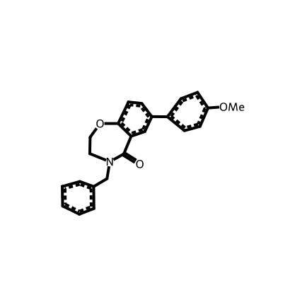 COc1ccc(-c2ccc3c(c2)C(=O)N(Cc2ccccc2)CCO3)cc1